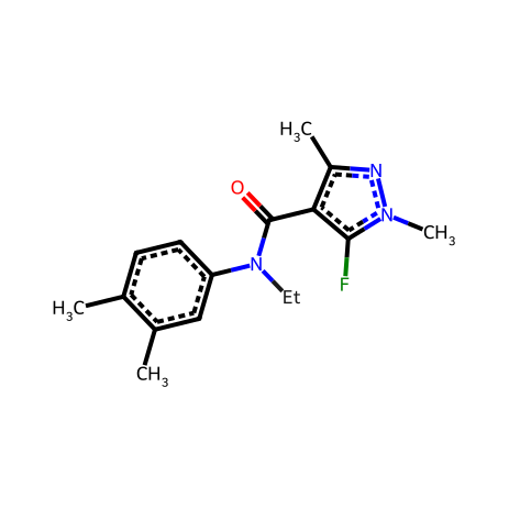 CCN(C(=O)c1c(C)nn(C)c1F)c1ccc(C)c(C)c1